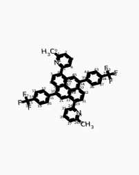 Cc1cccc(-c2ccc3c(-c4ccc(C(F)(F)F)cc4)cc4c(-c5cccc(C)n5)ccc5c(-c6ccc(C(F)(F)F)cc6)cc2c3c54)n1